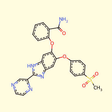 CS(=O)(=O)c1ccc(Oc2cc3nc(-c4cnccn4)[nH]c3cc2Oc2ccccc2C(N)=O)cc1